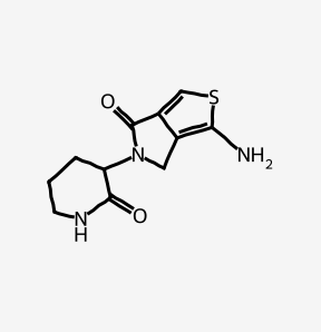 Nc1scc2c1CN(C1CCCNC1=O)C2=O